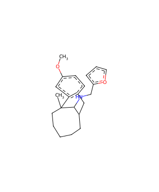 COc1ccc2c(c1)C1(C)CCCCCC(C2)C1NCc1ccco1